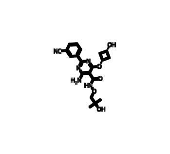 CC(C)(O)CONC(=O)c1c(N)nc(-c2cccc(C#N)c2)nc1O[C@H]1C[C@@H](O)C1